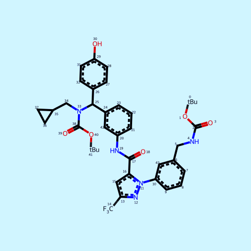 CC(C)(C)OC(=O)NCc1cccc(-n2nc(C(F)(F)F)cc2C(=O)Nc2cccc(C(c3ccc(O)cc3)N(CC3CC3)C(=O)OC(C)(C)C)c2)c1